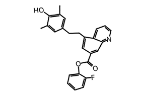 Cc1cc(CCc2cc(C(=O)Oc3ccccc3F)cc3ncccc23)cc(C)c1O